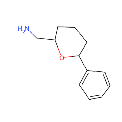 NCC1CCCC(c2ccccc2)O1